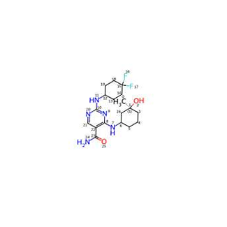 C[C@]1(O)CCCC(Nc2nc(NC3CCC(F)(F)CC3)ncc2C(N)=O)C1